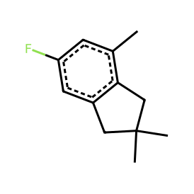 Cc1cc(F)cc2c1CC(C)(C)C2